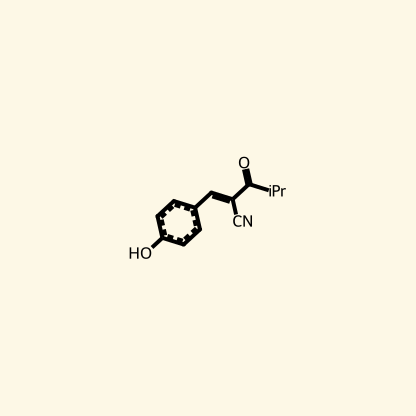 CC(C)C(=O)/C(C#N)=C/c1ccc(O)cc1